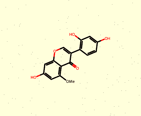 COc1cc(O)cc2occ(-c3ccc(O)cc3O)c(=O)c12